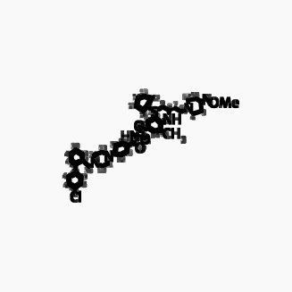 CON=C1CCN(CC[C@H](CSc2ccccc2)Nc2ccc(S(=O)(=O)NC(=O)c3ccc(N4CCN(Cc5ccccc5-c5ccc(Cl)cc5)CC4)cc3)cc2C)CC1